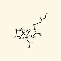 CCCCCCO[Si](OCC)(OCC)C1N=CCS1